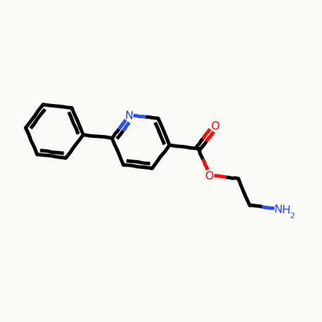 NCCOC(=O)c1ccc(-c2ccccc2)nc1